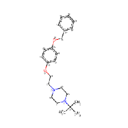 CC(C)(C)N1CCN(CCOc2ccc(OCc3ccccc3)cc2)CC1